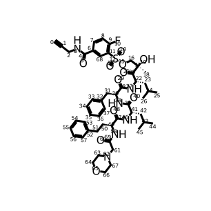 C#CCNC(=O)c1ccc(F)c(S(=O)(=O)OC[C@@](C)(O)C(=O)[C@H](CC(C)C)NC(=O)[C@H](Cc2ccccc2)NC(=O)[C@H](CC(C)C)NC(=O)[C@H](CCc2ccccc2)NC(=O)CN2CCOCC2)c1